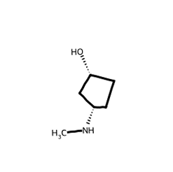 CN[C@H]1CC[C@@H](O)C1